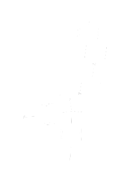 O=C(CN1CCC(c2ccc(F)cc2)(c2ccc(F)cc2)C1=O)N1CCc2ccccc2C1